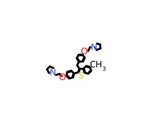 Cc1ccc2sc(-c3ccc(OCCN4CCCC4)cc3)c(Cc3ccc(OCCN4CCCC4)cc3)c2c1